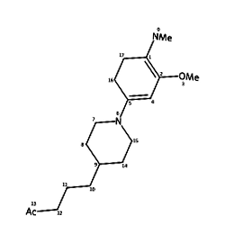 CNC1=C(OC)C=C(N2CCC(CCCC(C)=O)CC2)CC1